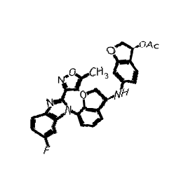 CC(=O)O[C@@H]1COc2cc(N[C@@H]3COc4c3cccc4-n3c(-c4cc(C)on4)nc4ccc(F)cc43)ccc21